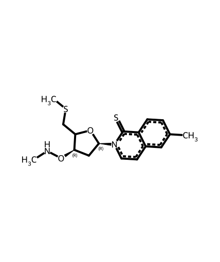 CNO[C@@H]1C[C@H](n2ccc3cc(C)ccc3c2=S)OC1CSC